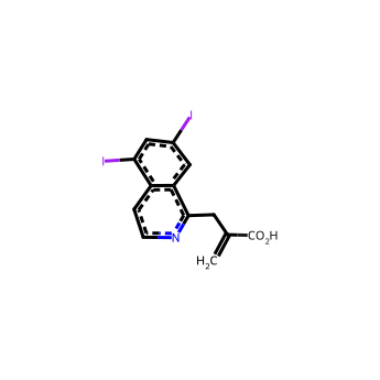 C=C(Cc1nccc2c(I)cc(I)cc12)C(=O)O